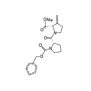 COC(=O)[C@@H]1C(=S)CCN1C(=O)[C@@H]1CCCN1C(=O)OCc1ccccc1